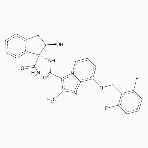 Cc1nc2c(OCc3c(F)cccc3F)cccn2c1C(=O)N[C@]1(C(N)=O)c2ccccc2C[C@H]1O